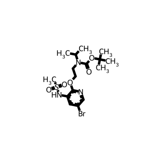 CC(C)N(CCOc1ncc(Br)cc1NS(C)(=O)=O)C(=O)OC(C)(C)C